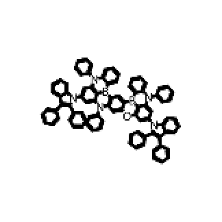 c1ccc(-c2c(-c3ccccc3)n(-c3cc4c5c(c3)N(c3ccccc3)c3ccccc3B5c3cc5c(cc3O4)N(c3ccccc3)c3cc(-n4c(-c6ccccc6)c(-c6ccccc6)c6ccccc64)cc4c3B5c3ccccc3N4c3ccccc3)c3ccccc23)cc1